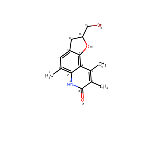 Cc1c(C)c2c3c(cc(C)c2[nH]c1=O)CC(CBr)O3